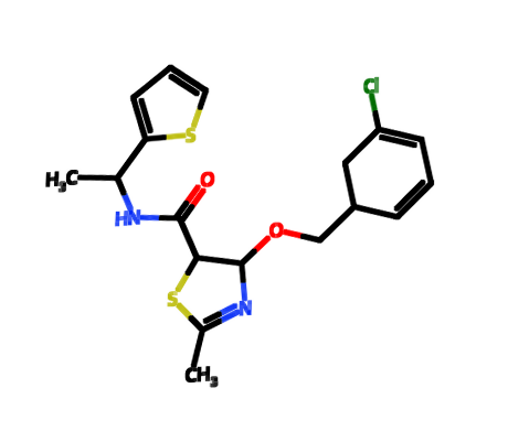 CC1=NC(OCC2C=CC=C(Cl)C2)C(C(=O)NC(C)c2cccs2)S1